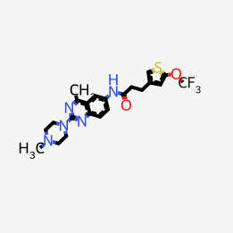 Cc1nc(N2CCN(C)CC2)nc2ccc(NC(=O)CCc3csc(OC(F)(F)F)c3)cc12